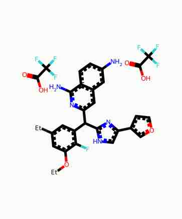 CCOc1cc(CC)cc(C(c2cc3cc(N)ccc3c(N)n2)c2nc(-c3ccoc3)c[nH]2)c1F.O=C(O)C(F)(F)F.O=C(O)C(F)(F)F